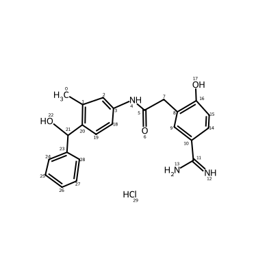 Cc1cc(NC(=O)Cc2cc(C(=N)N)ccc2O)ccc1C(O)c1ccccc1.Cl